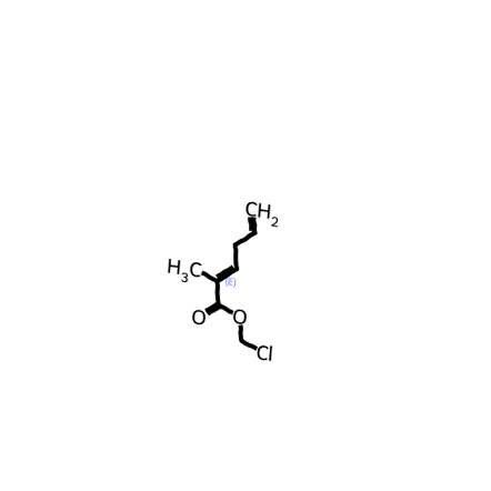 C=CC/C=C(\C)C(=O)OCCl